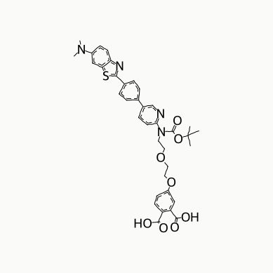 CN(C)c1ccc2nc(-c3ccc(-c4ccc(N(CCOCCOc5ccc(C(=O)O)c(C(=O)O)c5)C(=O)OC(C)(C)C)nc4)cc3)sc2c1